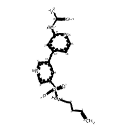 C=CCCNS(=O)(=O)c1cncc(-c2ccnc(NC(C)=O)c2)c1